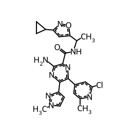 Cc1cc(-c2nc(C(=O)NC(C)c3cc(C4CC4)no3)c(N)nc2-c2ccn(C)n2)cc(Cl)n1